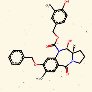 COc1cc2c(cc1OCc1ccccc1)N(C(=O)OCc1ccc(O)c([N+](=O)[O-])c1)[C@@H](O)[C@@H]1CCCN1C2=O